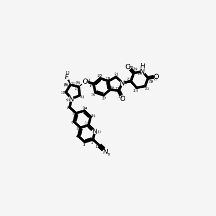 N#Cc1ccc2cc(CN3C[C@@H](F)[C@H](Oc4ccc5c(c4)CN(C4CCC(=O)NC4=O)C5=O)C3)ccc2n1